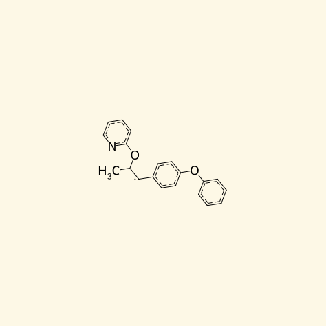 CC([CH]c1ccc(Oc2ccccc2)cc1)Oc1ccccn1